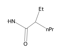 CCCC(CC)C([NH])=O